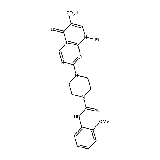 CCn1cc(C(=O)O)c(=O)c2cnc(N3CCN(C(=S)Nc4ccccc4OC)CC3)nc21